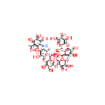 C[C@H]1O[C@H](O[C@H]2[C@H](O)[C@@H](O)[C@@H](O[C@H]3[C@H](O)[C@@H](O)[C@H](O[C@H]4[C@H](O)[C@@H](O)[C@H](O[C@H]5[C@H](O)[C@@H](O)[C@H](O)O[C@@H]5CO)O[C@@H]4CO)O[C@@H]3CO)O[C@@H]2CO)[C@H](O)[C@@H](O)[C@@H]1N[C@H]1C=C(CO)[C@@H](O)[C@H](O)[C@H]1O